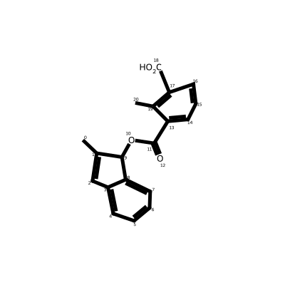 CC1=Cc2ccccc2C1OC(=O)c1cccc(C(=O)O)c1C